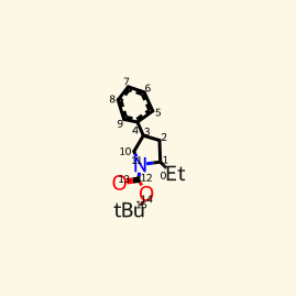 CCC1CC(c2ccccc2)CN1C(=O)OC(C)(C)C